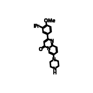 COc1ccc(-c2cc(=O)n3cc(N4CCNCC4)ccc3n2)cc1C(C)C